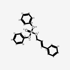 O=P(OCC=Cc1ccccc1)(Oc1ccccc1)Oc1ccccc1